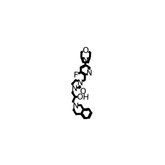 O=C1N(Cc2ncc(N3C4CCC3COC4)cc2F)CCN1CC(O)CN1CCc2ccccc2C1